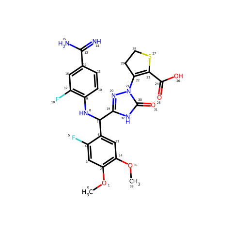 COc1cc(F)c(C(Nc2ccc(C(=N)N)cc2F)c2nn(C3=C(C(=O)O)SCC3)c(=O)[nH]2)cc1OC